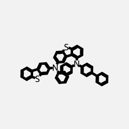 c1ccc(-c2ccc(N(c3ccccc3)c3cccc4sc5ccc(N(c6ccccc6)c6ccc7c(c6)sc6ccccc67)cc5c34)cc2)cc1